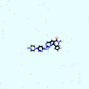 CN(C)C(=O)c1cc2cnc(Nc3ccc(N4CCNCC4)cn3)nn2c1C1=CCCC1